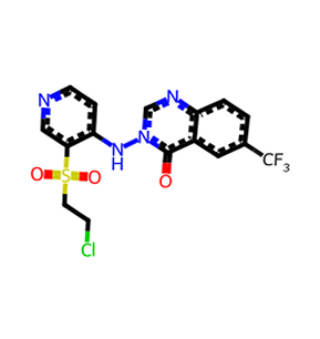 O=c1c2cc(C(F)(F)F)ccc2ncn1Nc1ccncc1S(=O)(=O)CCCl